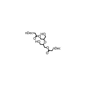 CCCCCCCCCCCC(=O)OCC(CO)OC(CO)COC(=O)CCCCCCCCCCC